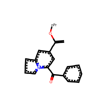 C=C(OCCC)c1cc(C(=O)c2ccccc2)n2cccc2c1